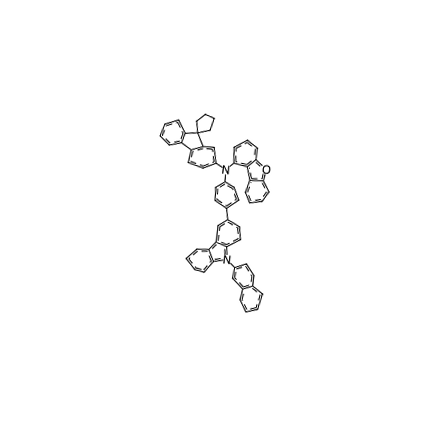 c1ccc2c(c1)-c1ccc(N(c3ccc(-c4ccc5c(c4)c4ccccc4n5-c4ccc5ccccc5c4)cc3)c3cccc4oc5ccccc5c34)cc1C21CCCC1